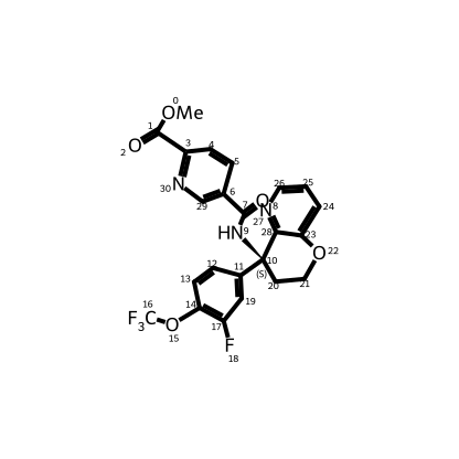 COC(=O)c1ccc(C(=O)N[C@]2(c3ccc(OC(F)(F)F)c(F)c3)CCOc3cccnc32)cn1